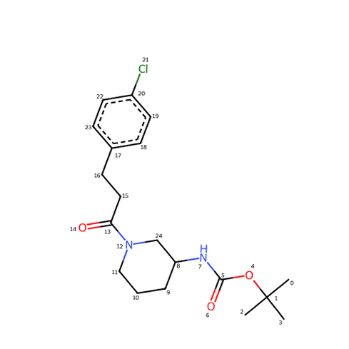 CC(C)(C)OC(=O)NC1CCCN(C(=O)CCc2ccc(Cl)cc2)C1